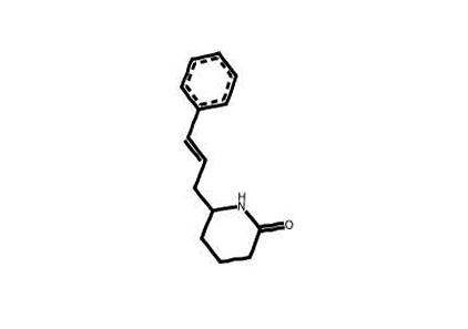 O=C1CCCC(C/C=C/c2ccccc2)N1